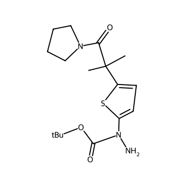 CC(C)(C)OC(=O)N(N)c1ccc(C(C)(C)C(=O)N2CCCC2)s1